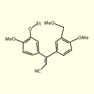 CCOc1cc(/C(=C\C#N)c2ccc(OC)c(COC)c2)ccc1OC